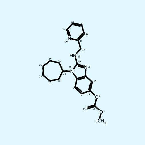 COC(=O)Oc1ccc2c(c1)nc(NCc1ccccn1)n2C1CCCCCC1